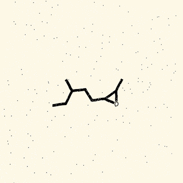 CCC(C)CCC1OC1C